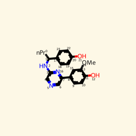 CCCC(Nc1cncc(-c2ccc(O)c(OC)c2)n1)c1ccc(O)cc1